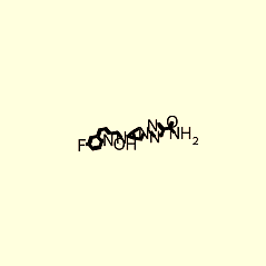 NC(=O)c1cnc(N2CC3C(C2)C3N(O)Cc2ccc3cc(F)ccc3n2)nc1